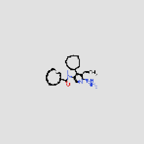 C=Cc1c(NN)ncc(NC(=O)c2ccccccccc2)c1C1CCCCCCCC1